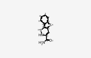 NC(=O)C1=Cc2sc3ccccc3c2SN1